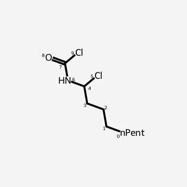 CCCCCCCCC(Cl)NC(=O)Cl